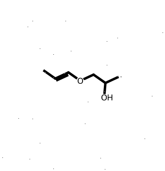 [CH2]C(O)COC=CC